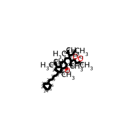 CCCC(C(C)C)C(CC1CC(=O)c2c(C)c(CCCCc3ccccc3)cc(C(C)C)c2C1)C(CC)C(=O)CC(C)=O